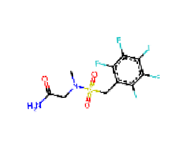 CN(CC(N)=O)S(=O)(=O)Cc1c(F)c(F)c(F)c(F)c1F